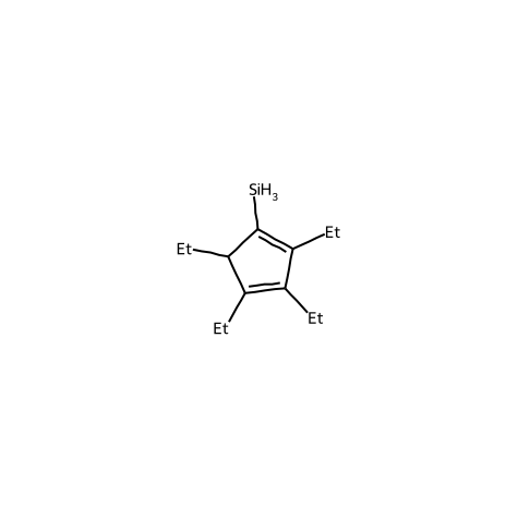 CCC1=C([SiH3])C(CC)C(CC)=C1CC